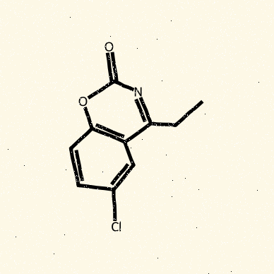 CCc1nc(=O)oc2ccc(Cl)cc12